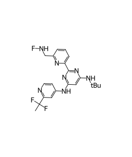 CC(C)(C)Nc1cc(Nc2ccnc(C(C)(F)F)c2)nc(-c2cccc(CNF)n2)n1